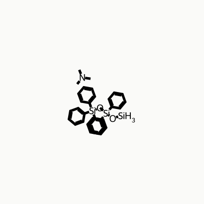 CN(C)C.[SiH3]O[Si](O[Si](c1ccccc1)(c1ccccc1)c1ccccc1)(c1ccccc1)c1ccccc1